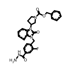 NNC(=O)c1ccc(Cn2c(=O)n(C3CCN(C(=O)OCc4ccccc4)C3)c3ccccc32)c(F)c1